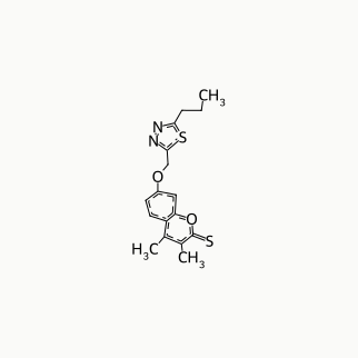 CCCc1nnc(COc2ccc3c(C)c(C)c(=S)oc3c2)s1